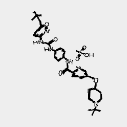 CC(C)(C)c1cc(NC(=O)Nc2ccc(NC(=O)c3ccc(OC4CCN(C(C)(C)C)CC4)cn3)cc2)no1.CS(=O)(=O)O